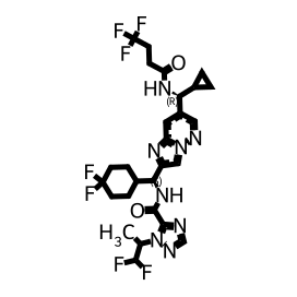 CC(C(F)F)n1ncnc1C(=O)N[C@H](c1cn2ncc([C@H](NC(=O)CCC(F)(F)F)C3CC3)cc2n1)C1CCC(F)(F)CC1